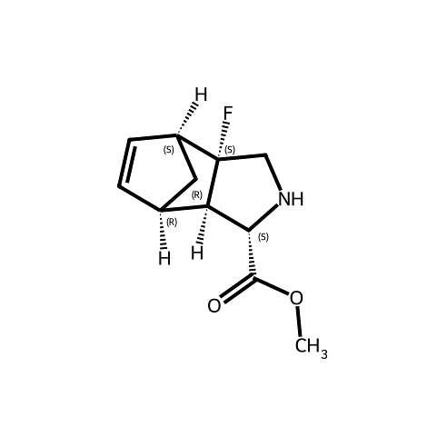 COC(=O)[C@H]1NC[C@@]2(F)[C@@H]1[C@H]1C=C[C@@H]2C1